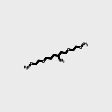 COCCOCCCC(N)CCOCCOC